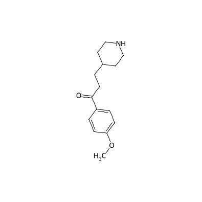 COc1ccc(C(=O)CCC2CCNCC2)cc1